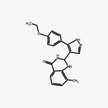 CCOc1ccc(-c2[nH]ncc2C2NC(=O)c3cccc(C)c3N2)cc1